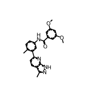 COc1cc(OC)cc(C(=O)Nc2ccc(C)c(-c3ccc4c(C)n[nH]c4n3)c2)c1